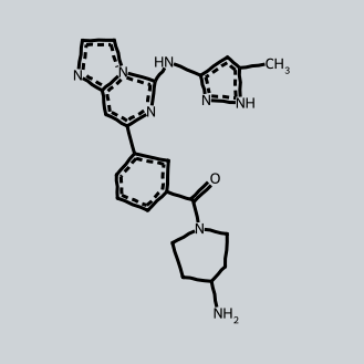 Cc1cc(Nc2nc(-c3cccc(C(=O)N4CCC(N)CC4)c3)cc3nccn23)n[nH]1